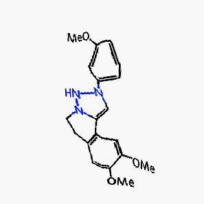 COc1cccc(N2C=C3c4cc(OC)c(OC)cc4CCN3N2)c1